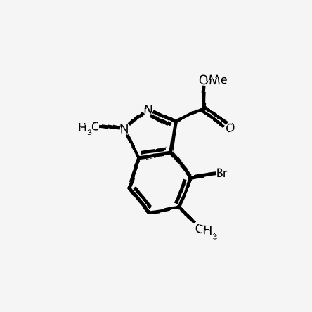 COC(=O)c1nn(C)c2ccc(C)c(Br)c12